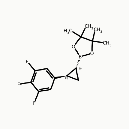 CC1(C)OB([C@@H]2C[C@H]2c2cc(F)c(F)c(F)c2)OC1(C)C